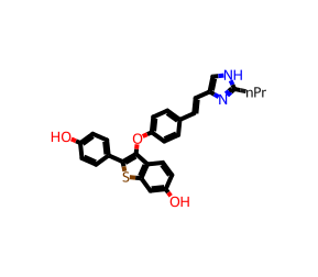 CCCc1nc(/C=C/c2ccc(Oc3c(-c4ccc(O)cc4)sc4cc(O)ccc34)cc2)c[nH]1